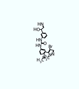 COc1ccc(NC(=O)Nc2cccc(C(O)C=N)c2)cc1-c1c(Br)cnn1C